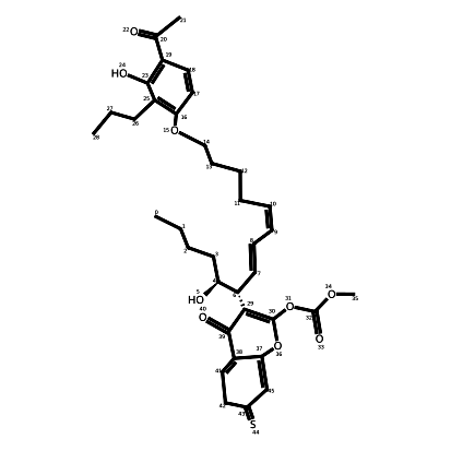 CCCC[C@H](O)[C@H](/C=C/C=C\CCCCOc1ccc(C(C)=O)c(O)c1CCC)c1c(OC(=O)OC)oc2c(c1=O)=CCC(=S)C=2